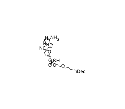 CCCCCCCCCCCCCCOCCOP(=O)(O)OC[C@@H]1CC[C@](C#N)(c2ccc3c(N)ncnn23)O1